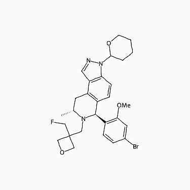 COc1cc(Br)ccc1[C@@H]1c2ccc3c(cnn3C3CCCCO3)c2C[C@@H](C)N1CC1(CF)COC1